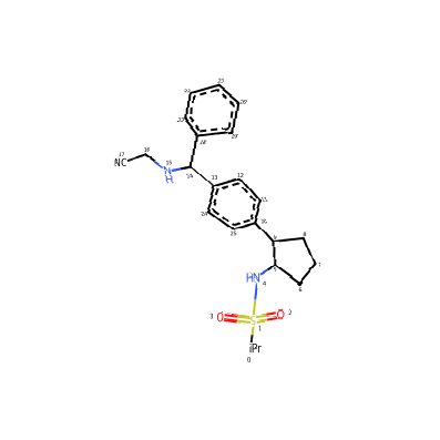 CC(C)S(=O)(=O)NC1CCCC1c1ccc(C(NCC#N)c2ccccc2)cc1